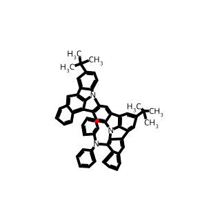 CC(C)(C)c1ccc2c(c1)c1cc3ccccc3c3c4cc5c(cc4n2c13)c1cc(C(C)(C)C)cc2c3cc4ccccc4c(N(c4ccccc4)c4ccccc4)c3n5c12